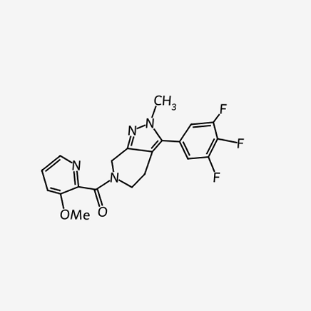 COc1cccnc1C(=O)N1CCc2c(nn(C)c2-c2cc(F)c(F)c(F)c2)C1